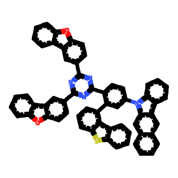 c1ccc2cc3c(cc2c1)c1ccccc1n3-c1ccc(-c2nc(-c3ccc4oc5ccccc5c4c3)nc(-c3ccc4oc5ccccc5c4c3)n2)c(-c2cccc3sc4ccccc4c23)c1